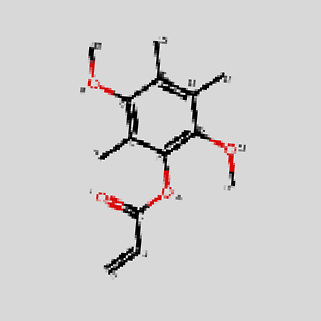 C=CC(=O)Oc1c(C)c(OC)c(C)c(C)c1OC